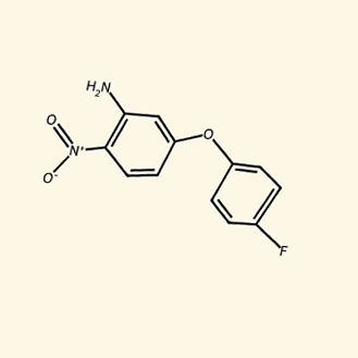 Nc1cc(Oc2ccc(F)cc2)ccc1[N+](=O)[O-]